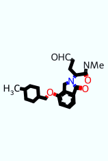 CNC(=O)C(CCC=O)N1Cc2c(OCC3CCC(C)CC3)cccc2C1=O